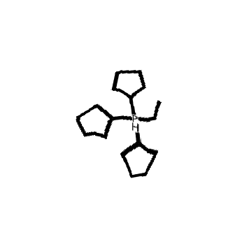 CC[PH](C1CCCC1)(C1CCCC1)C1CCCC1